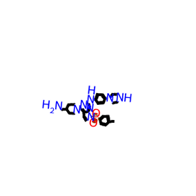 Cc1ccc(S(=O)(=O)n2ccc3c(N4CCC(CN)CC4)nc(Nc4ccc(N5CCNCC5)cc4)nc32)cc1